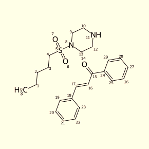 CCCCCS(=O)(=O)N1CCNCC1.O=C(C=Cc1ccccc1)c1ccccc1